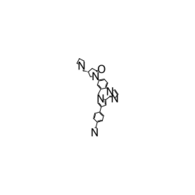 N#Cc1ccc(-c2cc3n(c2)Cc2cc(N4C[C@@H](CN5CCC5)CC4=O)ccc2-n2ccnc2-3)cc1